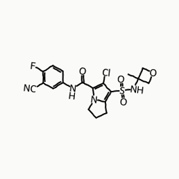 CC1(NS(=O)(=O)c2c(Cl)c(C(=O)Nc3ccc(F)c(C#N)c3)n3c2CCC3)COC1